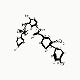 O=C(Nc1ccc(O)c(NS(=O)(=O)c2ccc(F)cc2)c1)c1ccc(-c2ccc(C(F)(F)F)cc2)c([N+](=O)[O-])c1